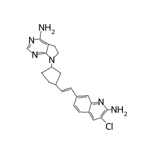 Nc1nc2cc(/C=C/C3CCC(N4CCc5c(N)ncnc54)C3)ccc2cc1Cl